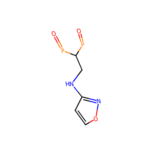 O=PC(CNc1ccon1)P=O